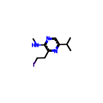 CNc1ncc(C(C)C)nc1CCI